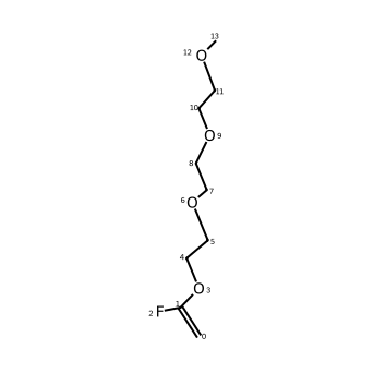 C=C(F)OCCOCCOCCOC